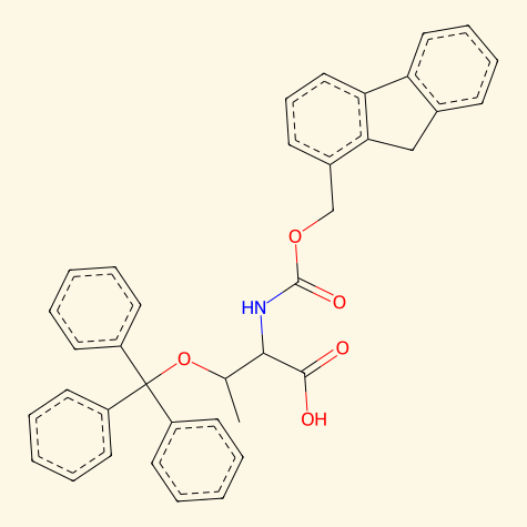 CC(OC(c1ccccc1)(c1ccccc1)c1ccccc1)C(NC(=O)OCc1cccc2c1Cc1ccccc1-2)C(=O)O